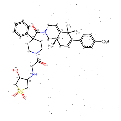 CC1(C)C(c2ccc(C(=O)O)cc2)=CC[C@]2(C)CN(C(=O)C3(c4ccccc4)CCN(C(=O)CNC4CS(=O)(=O)CC4O)CC3)CC=C12